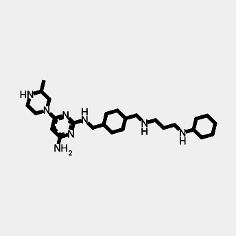 CC1CN(c2cc(N)nc(NCC3CCC(CNCCCNC4CCCCC4)CC3)n2)CCN1